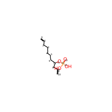 C=CCCCCCC(CC=C)OP(=O)(O)O